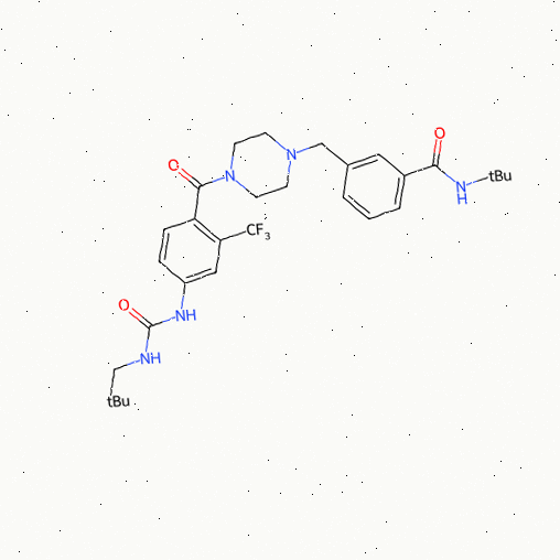 CC(C)(C)CNC(=O)Nc1ccc(C(=O)N2CCN(Cc3cccc(C(=O)NC(C)(C)C)c3)CC2)c(C(F)(F)F)c1